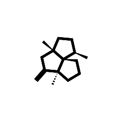 C=C1C[C@]2(C)CC[C@@H](C)[C@@]23CCC[C@@]13C